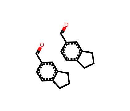 O=Cc1ccc2c(c1)CCC2.O=Cc1ccc2c(c1)CCC2